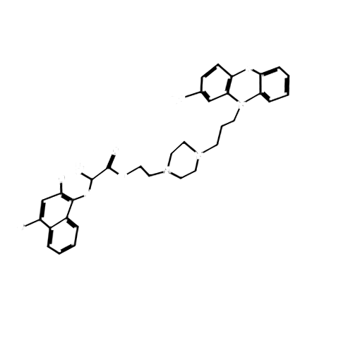 CC(Oc1c(Cl)cc(Cl)c2ccccc12)C(=O)OCCN1CCN(CCCN2c3ccccc3Sc3ccc(C(F)(F)F)cc32)CC1